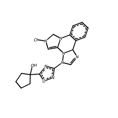 OC1(c2nc(N3C=NC4c5ccccc5N5CN(Cl)C=C5N43)no2)CCCC1